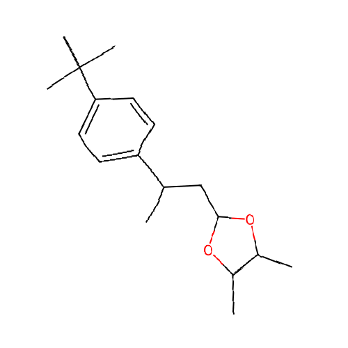 CC(CC1OC(C)C(C)O1)c1ccc(C(C)(C)C)cc1